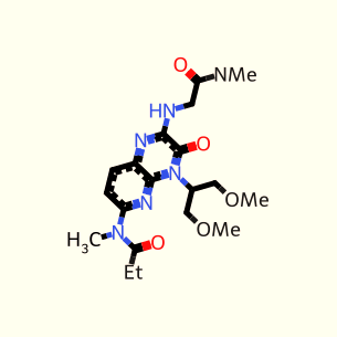 CCC(=O)N(C)c1ccc2nc(NCC(=O)NC)c(=O)n(C(COC)COC)c2n1